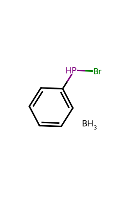 B.BrPc1ccccc1